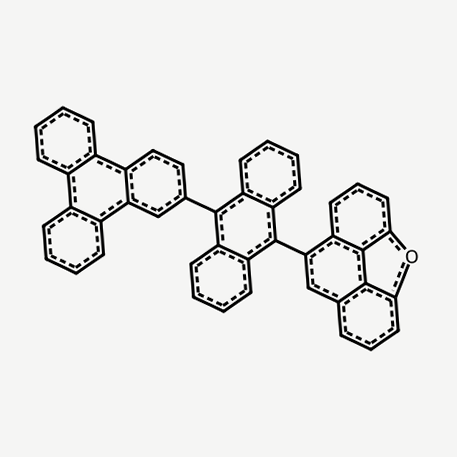 c1cc2cc(-c3c4ccccc4c(-c4ccc5c6ccccc6c6ccccc6c5c4)c4ccccc34)c3cccc4oc(c1)c2c43